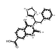 O=C(O)c1ccc2c(=O)n(C(Cc3ccccc3)C3=COCO3)c(=S)[nH]c2c1